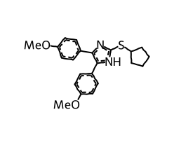 COc1ccc(-c2nc(SC3CCCC3)[nH]c2-c2ccc(OC)cc2)cc1